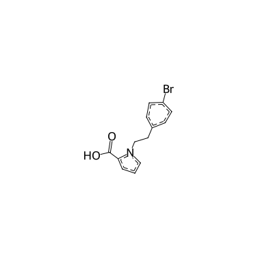 O=C(O)c1cccn1CCc1ccc(Br)cc1